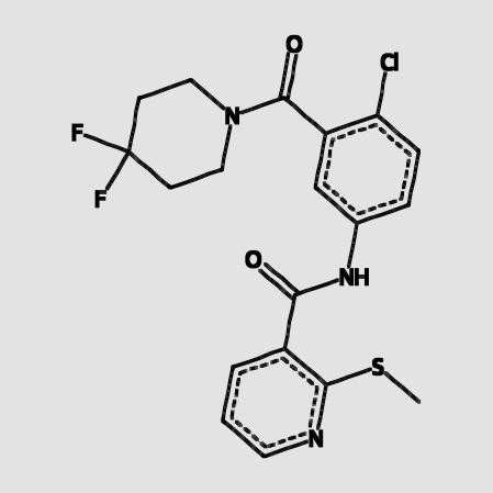 CSc1ncccc1C(=O)Nc1ccc(Cl)c(C(=O)N2CCC(F)(F)CC2)c1